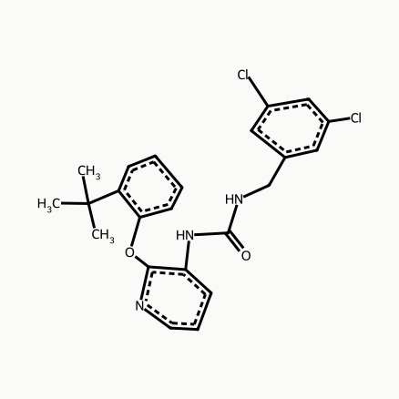 CC(C)(C)c1ccccc1Oc1ncccc1NC(=O)NCc1cc(Cl)cc(Cl)c1